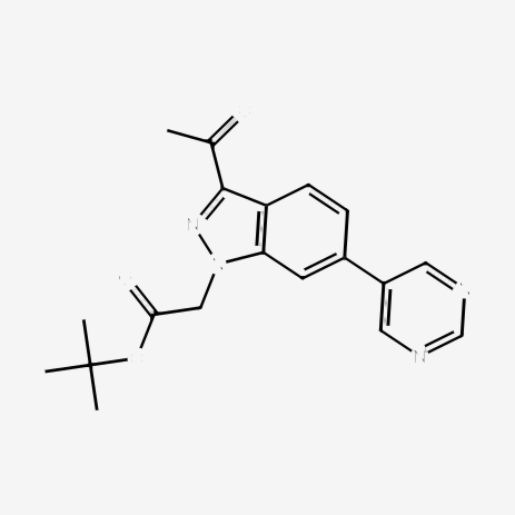 CC(=O)c1nn(CC(=O)OC(C)(C)C)c2cc(-c3cncnc3)ccc12